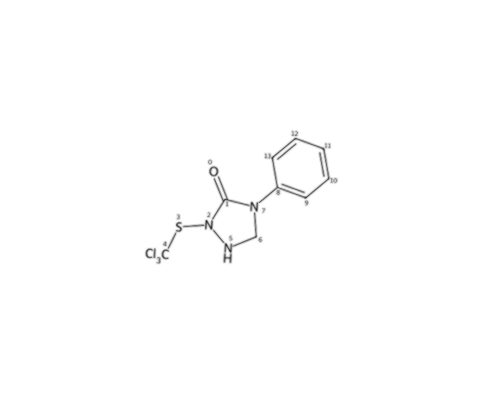 O=C1N(SC(Cl)(Cl)Cl)NCN1c1ccccc1